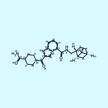 CC1(C)[C@H]2CC[C@@H](CNC(=O)c3cccc4nc(C(=O)N5CCC(C(N)=O)CC5)cn34)[C@@H]1C2